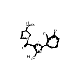 CCNC1CCN(C(=O)c2sc(-c3cccc(Cl)c3Cl)nc2C)C1